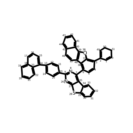 C1=CC(c2ccc(-c3nc(-c4ccc(-c5cccc6ccccc56)cc4)nc4sc5ccccc5c34)c3c2oc2c4ccccc4ccc23)=CCC1